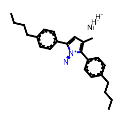 CCCCc1ccc(C2=CC(C)=C(c3ccc(CCCC)cc3)[N+]2=[N-])cc1.[H-].[H-].[Ni]